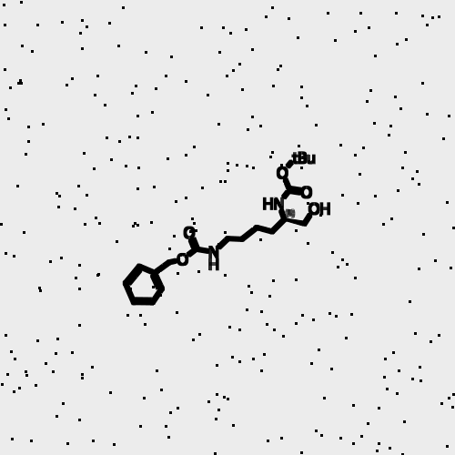 CC(C)(C)OC(=O)N[C@@H](CO)CCCCNC(=O)OCc1ccccc1